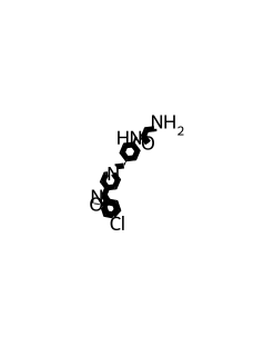 NCCC(=O)N[C@H]1CC[C@H](CCN2CCC(c3noc4cc(Cl)ccc34)CC2)CC1